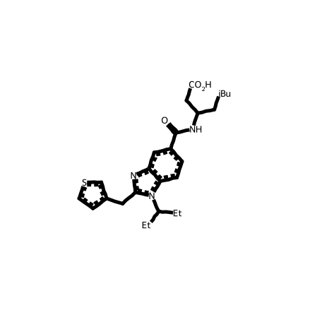 CCC(C)CC(CC(=O)O)NC(=O)c1ccc2c(c1)nc(Cc1ccsc1)n2C(CC)CC